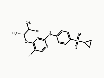 C[C@@H](O)[C@@H](C)Oc1nc(Nc2ccc(S(=N)(=O)C3CC3)cc2)ncc1Br